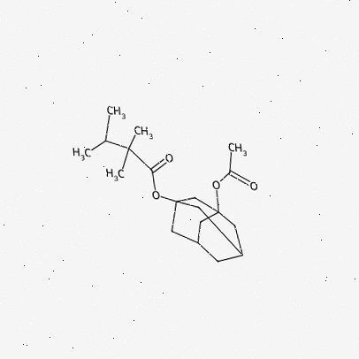 CC(=O)OC12CC3CC(C1)CC(OC(=O)C(C)(C)C(C)C)(C3)C2